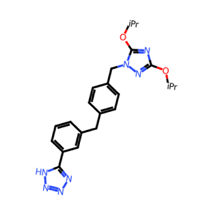 CC(C)Oc1nc(OC(C)C)n(Cc2ccc(Cc3cccc(-c4nnn[nH]4)c3)cc2)n1